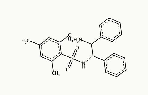 Cc1cc(C)c(S(=O)(=O)N[C@@H](c2ccccc2)C(N)c2ccccc2)c(C)c1